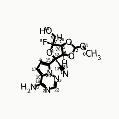 COC1O[C@@H]2[C@H](O1)[C@@](F)(CO)O[C@@]2(C#N)c1ccc2c(N)ncnn12